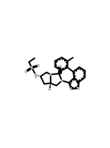 CCS(=O)(=O)N[C@H]1C[C@H]2CN(c3noc4cccc(-c5c(C)cccc5C)c34)C(=O)N2C1